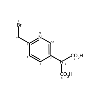 O=C(O)N(C(=O)O)c1ccc(CBr)nc1